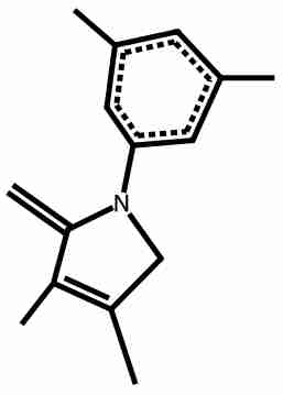 C=C1C(C)=C(C)CN1c1cc(C)cc(C)c1